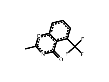 Cc1nc(=O)c2c(C(F)(F)F)cccc2o1